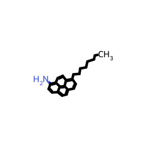 CCCCCCCCc1ccc2ccc3ccc(N)c4ccc1c2c34